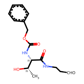 C[C@H](O)[C@H](NC(=O)OCc1ccccc1)C(=O)NCCC=O